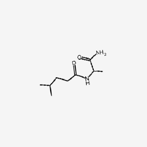 CC(C)CCC(=O)NC(C)C(N)=O